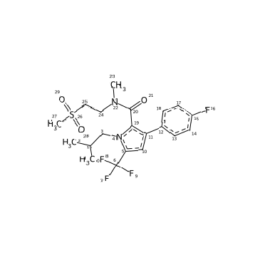 CC(C)Cn1c(C(F)(F)F)cc(-c2ccc(F)cc2)c1C(=O)N(C)CCS(C)(=O)=O